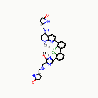 COc1nc(-c2cccc(-c3cccc(-c4ccc5c(n4)N(C)CCC5NC[C@@H]4CCC(=O)N4)c3Cl)c2Cl)cnc1CNC[C@@H]1CCC(=O)N1